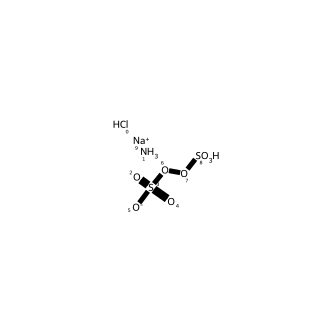 Cl.N.O=S(=O)([O-])OOS(=O)(=O)O.[Na+]